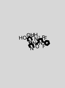 C[C@H]1CN(c2ccncc2NC(=O)c2nc(-c3c(F)cccc3F)c(F)cc2N)C[C@@H](O)[C@@H]1O